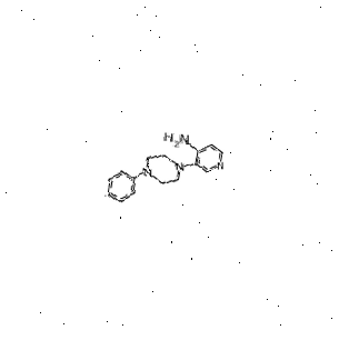 Nc1ccncc1N1CCN(c2cc[c]cc2)CC1